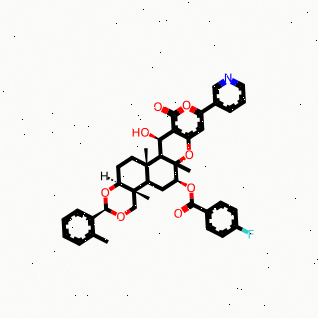 Cc1ccccc1[C@@H]1OC[C@@]2(C)C3C[C@H](OC(=O)c4ccc(F)cc4)C4(C)Oc5cc(-c6cccnc6)oc(=O)c5[C@H](O)C4[C@@]3(C)CC[C@@H]2O1